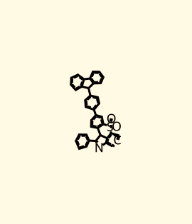 O=S1(=O)c2cc(-c3ccc(C4c5ccccc5-c5ccccc54)cc3)ccc2C2C(c3ccccc3)=Nc3cccc1c32